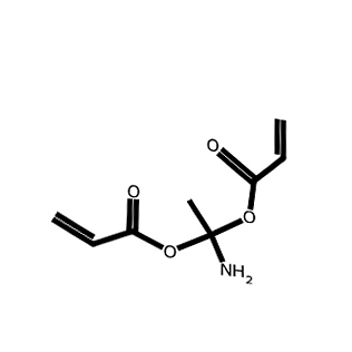 C=CC(=O)OC(C)(N)OC(=O)C=C